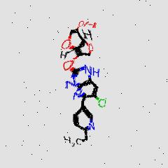 CCc1ccc(-c2nc3nc(O[C@@H]4CO[C@H]5[C@@H]4OC[C@H]5O)[nH]c3cc2Cl)cn1